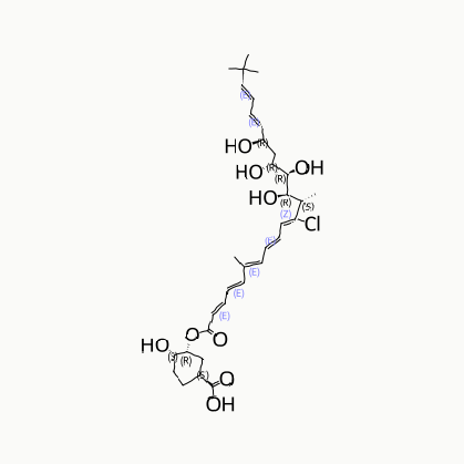 CC(/C=C/C=C/C(=O)O[C@@H]1C[C@@H](C(=O)O)CC[C@@H]1O)=C\C=C\C=C(/Cl)[C@@H](C)[C@@H](O)[C@H](O)[C@H](O)C[C@@H](O)/C=C/C=C/C(C)(C)C